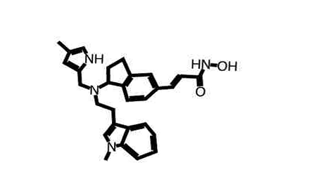 Cc1c[nH]c(CN(CCc2cn(C)c3ccccc23)C2CCc3cc(C=CC(=O)NO)ccc32)c1